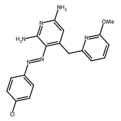 COc1cccc(Cc2cc(N)nc(N)c2N=Nc2ccc(Cl)cc2)n1